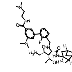 C[C@@H]1[C@@H](NC(=O)[C@@H]2[C@H]([C@H](C)O)[C@H](CN)ON2Cc2cccc(-c3cc(C(=O)NCCN(C)C)cc(N(C)C)c3)c2F)C[C@H]2C[C@@H]1C2(C)C